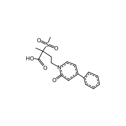 CC(CCn1ccc(-c2ccccc2)cc1=O)(C(=O)O)S(C)(=O)=O